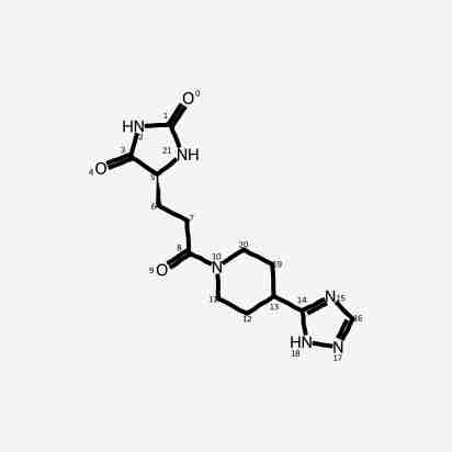 O=C1NC(=O)[C@H](CCC(=O)N2CCC(c3ncn[nH]3)CC2)N1